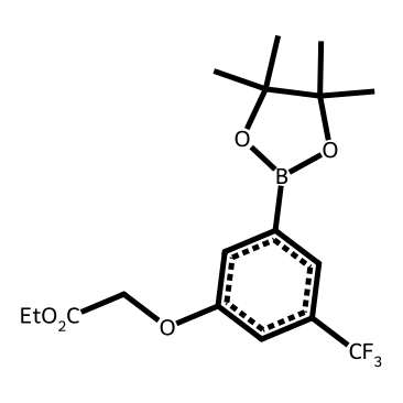 CCOC(=O)COc1cc(B2OC(C)(C)C(C)(C)O2)cc(C(F)(F)F)c1